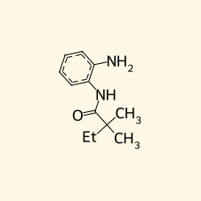 CCC(C)(C)C(=O)Nc1ccccc1N